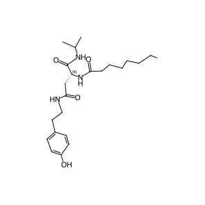 CCCCCCCC(=O)N[C@H](CC(=O)NCCc1ccc(O)cc1)C(=O)NC(C)C